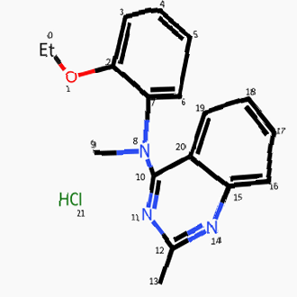 CCOc1ccccc1N(C)c1nc(C)nc2ccccc12.Cl